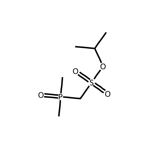 CC(C)OS(=O)(=O)CP(C)(C)=O